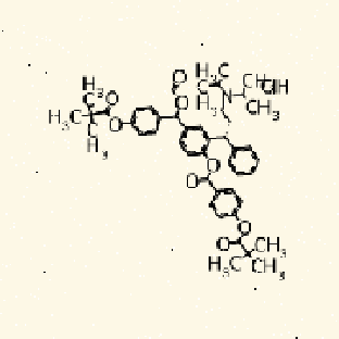 CC(C)N(CC[C@H](c1ccccc1)c1cc(C(OC=O)c2ccc(OC(=O)C(C)(C)C)cc2)ccc1OC(=O)c1ccc(OC(=O)C(C)(C)C)cc1)C(C)C.Cl